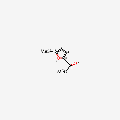 COC(=O)c1ccc(SC)o1